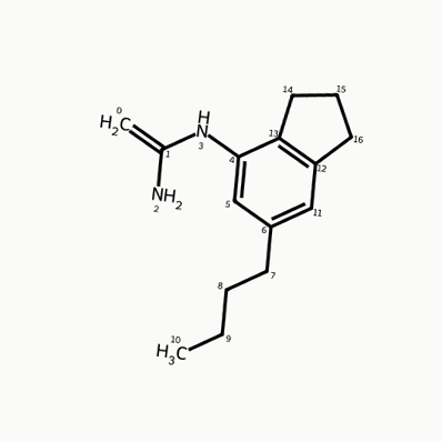 C=C(N)Nc1cc(CCCC)cc2c1CCC2